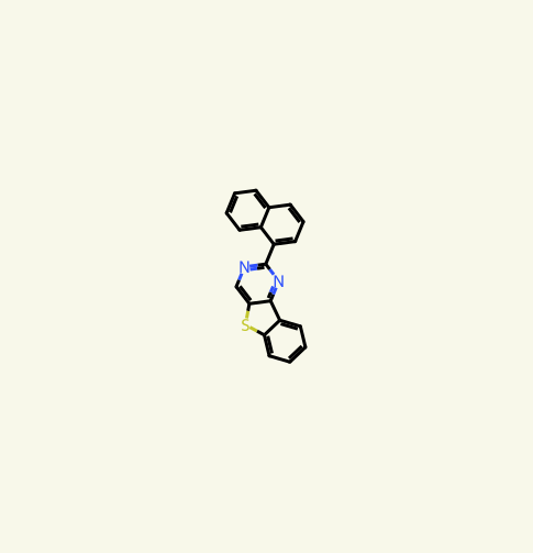 c1ccc2c(-c3ncc4sc5ccccc5c4n3)cccc2c1